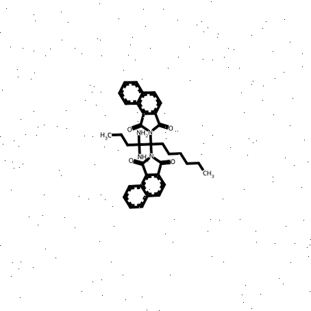 CCCCCCC(N1C(=O)c2ccc3ccccc3c2C1=O)(N1C(=O)c2ccc3ccccc3c2C1=O)C(N)(N)CCC